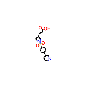 O=C(O)C=Cc1ccn(S(=O)(=O)c2ccc(-c3cccnc3)cc2)c1